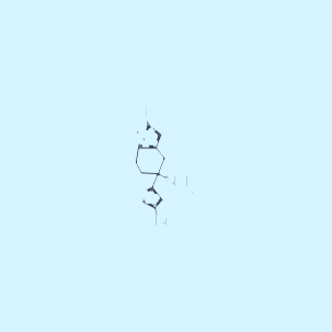 NC1(c2cc(Br)cs2)CCc2n[nH]cc2C1